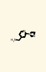 NCc1ccnc(-n2ccnc2)c1